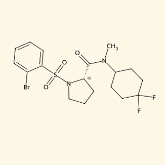 CN(C(=O)[C@@H]1CCCN1S(=O)(=O)c1ccccc1Br)C1CCC(F)(F)CC1